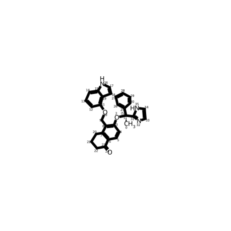 C[C@](Oc1ccc2c(c1COc1cccc3[nH]ccc13)CCCC2=O)(c1ccccc1)c1ncc[nH]1